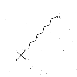 CCCCCCCCN.F[B-](F)(F)F